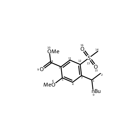 CCCCC(C)c1cc(OC)c(C(=O)OC)cc1S(C)(=O)=O